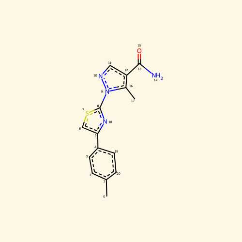 Cc1ccc(-c2csc(-n3ncc(C(N)=O)c3C)n2)cc1